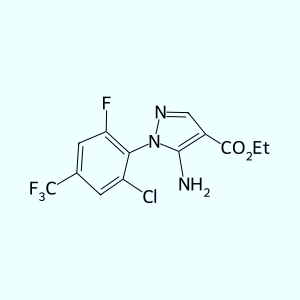 CCOC(=O)c1cnn(-c2c(F)cc(C(F)(F)F)cc2Cl)c1N